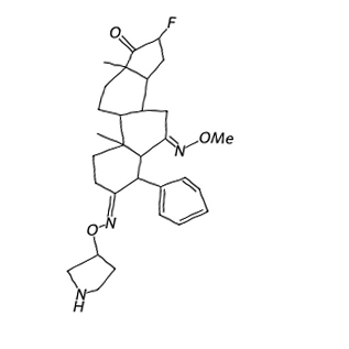 CON=C1CC2C3CC(F)C(=O)C3(C)CCC2C2(C)CCC(=NOC3CCNC3)C(c3ccccc3)C12